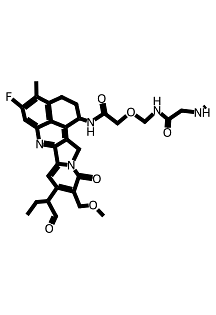 CCC(C=O)c1cc2n(c(=O)c1COC)Cc1c-2nc2cc(F)c(C)c3c2c1C(NC(=O)COCNC(=O)CNC)CC3